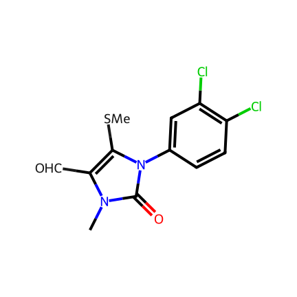 CSc1c(C=O)n(C)c(=O)n1-c1ccc(Cl)c(Cl)c1